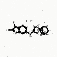 Cl.Fc1c(Cl)sc2cc(NC3=NO[C@@]4(C3)CN3CCC4CC3)ccc12